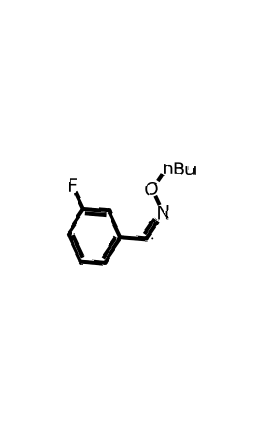 CCCCO/N=[C]\c1cccc(F)c1